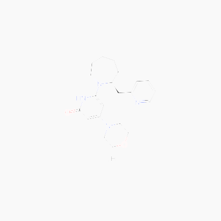 C[C@@H]1CN(c2cc(N3CCCCC[C@H]3Cc3ccccn3)[nH]c(=O)c2)CCO1